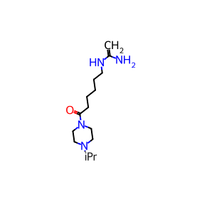 C=C(N)NCCCCCC(=O)N1CCN(C(C)C)CC1